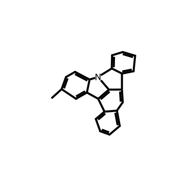 Cc1ccc2c(c1)c1c3ccccc3cc3c4ccccc4n2c31